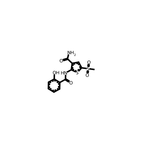 CS(=O)(=O)c1cc(C(N)=O)c(NC(=O)c2ccccc2O)s1